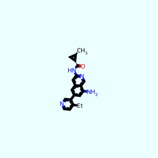 CCc1ccncc1-c1cc(N)c2cnc(NC(=O)[C@@H]3C[C@H]3C)cc2c1